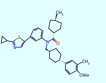 COc1ccc([C@H]2CC[C@H](CN(c3cccc(-c4cnc(C5CC5)s4)c3)C(=O)[C@H]3CC[C@H](C)CC3)CC2)cc1C